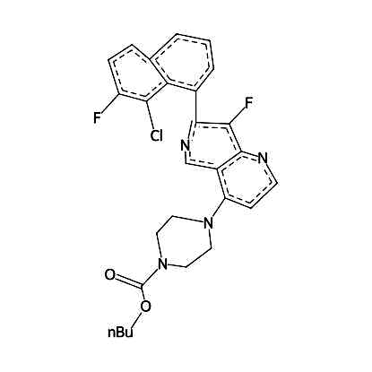 CCCCOC(=O)N1CCN(c2ccnc3c(F)c(-c4cccc5ccc(F)c(Cl)c45)ncc23)CC1